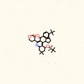 CC1(C)Cc2nc(C3CCOCC3)c([C@H](O)c3ccc(C(C)(C)C)cc3)c(C3C=CCC3)c2C(O[Si](C)(C)C(C)(C)C)C1